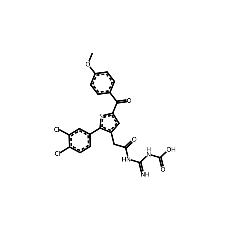 COc1ccc(C(=O)c2cc(CC(=O)NC(=N)NC(=O)O)c(-c3ccc(Cl)c(Cl)c3)s2)cc1